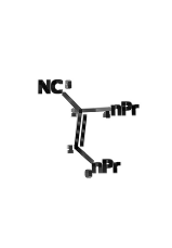 CCCC=C(C#N)CCC